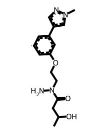 CC(O)CC(=O)N(N)CCOc1c[c]cc(-c2cnn(C)c2)c1